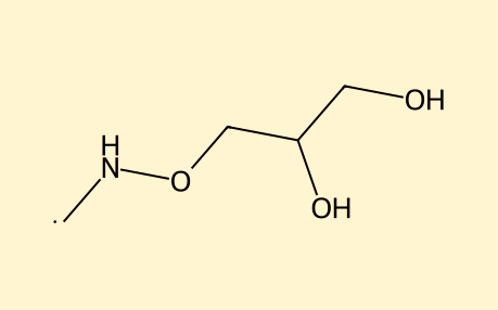 [CH2]NOCC(O)CO